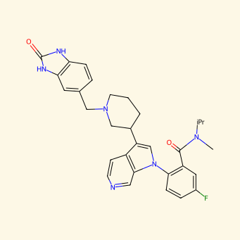 CC(C)N(C)C(=O)c1cc(F)ccc1-n1cc(C2CCCN(Cc3ccc4[nH]c(=O)[nH]c4c3)C2)c2ccncc21